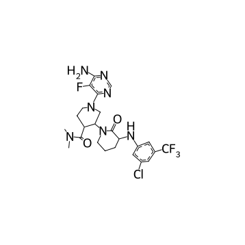 CN(C)C(=O)C1CCN(c2ncnc(N)c2F)CC1N1CCCC(Nc2cc(Cl)cc(C(F)(F)F)c2)C1=O